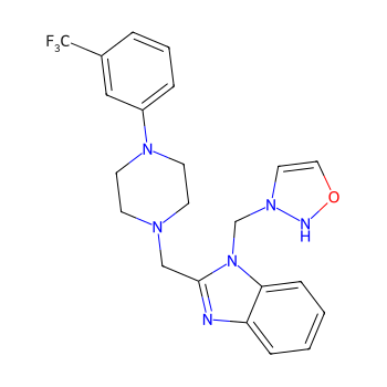 FC(F)(F)c1cccc(N2CCN(Cc3nc4ccccc4n3CN3C=CON3)CC2)c1